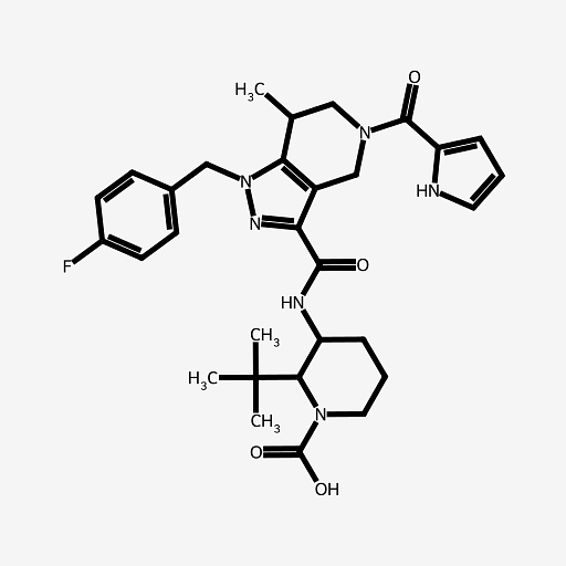 CC1CN(C(=O)c2ccc[nH]2)Cc2c(C(=O)NC3CCCN(C(=O)O)C3C(C)(C)C)nn(Cc3ccc(F)cc3)c21